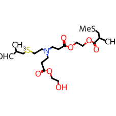 CSCC(C)C(=O)OCCOC(=O)CCN(CCSCC(C)C=O)CCC(=O)OCCO